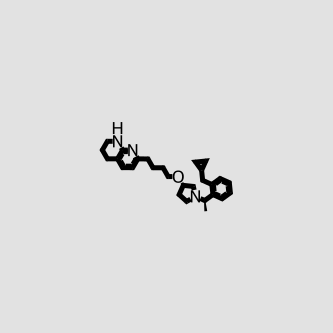 C[C@H](c1ccccc1CC1CC1)N1CC[C@@H](OCCCCc2ccc3c(n2)NCCC3)C1